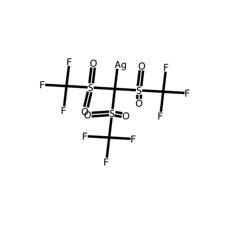 O=S(=O)(C(F)(F)F)[C]([Ag])(S(=O)(=O)C(F)(F)F)S(=O)(=O)C(F)(F)F